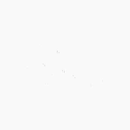 Cn1c(=O)nc2sc(C(F)(F)Cl)nn2c1=O